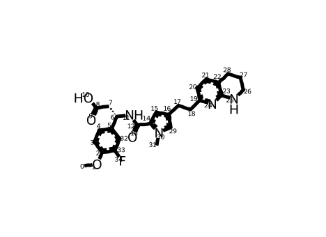 COc1ccc([C@H](CC(=O)O)NC(=O)c2cc(CCc3ccc4c(n3)NCCC4)cn2C)cc1F